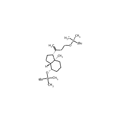 C=C(CCO[Si](C)(C)C(C)(C)C)[C@H]1CC[C@H]2[C@@H](O[Si](C)(C)C(C)(C)C)CCC[C@]12C